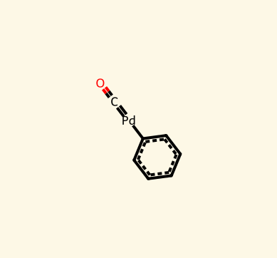 O=[C]=[Pd][c]1ccccc1